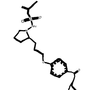 CC(C)S(=O)(=O)NN1CCCC1CCCOc1ccc(C(=O)C2CC2)cc1